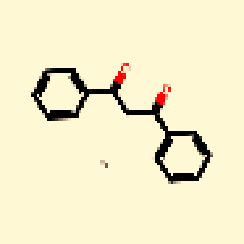 O=C(CC(=O)c1ccccc1)c1ccccc1.[Eu]